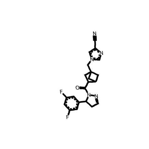 N#Cc1cn(CC23CC(C2)C(C(=O)N2N=CCC2c2cc(F)cc(F)c2)C3)cn1